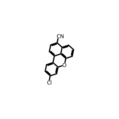 N#Cc1ccc2c3c(cccc13)Oc1cc(Cl)ccc1-2